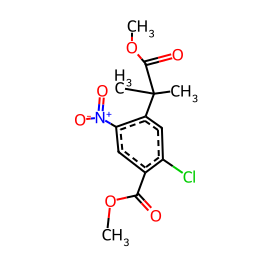 COC(=O)c1cc([N+](=O)[O-])c(C(C)(C)C(=O)OC)cc1Cl